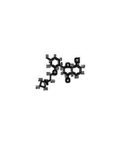 Cc1ccc(-c2cc(=O)c3cccc(Cl)c3o2)c(OCCN2CCC2)c1